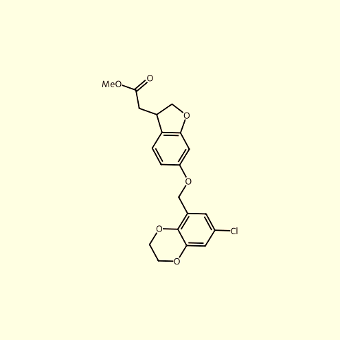 COC(=O)CC1COc2cc(OCc3cc(Cl)cc4c3OCCO4)ccc21